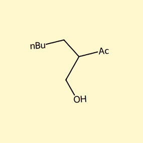 CCCCCC(CO)C(C)=O